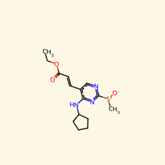 CCOC(=O)C=Cc1cnc([S+](C)[O-])nc1NC1CCCC1